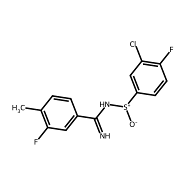 Cc1ccc(C(=N)N[S+]([O-])c2ccc(F)c(Cl)c2)cc1F